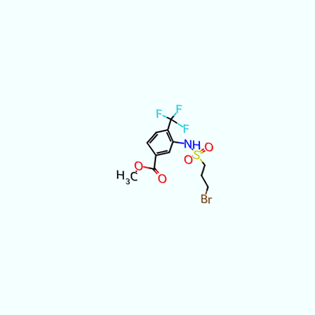 COC(=O)c1ccc(C(F)(F)F)c(NS(=O)(=O)CCCBr)c1